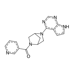 O=C(c1cccnc1)N1CC2CC1CN2c1ncnc2[nH]ccc12